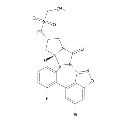 CCS(=O)(=O)N[C@H]1C[C@H]2CN(c3noc4cc(Br)cc(-c5c(F)cccc5F)c34)C(=O)N2C1